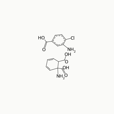 NC1(C(=O)O)C=CC=CC1C(=O)O.Nc1cc(C(=O)O)ccc1Cl